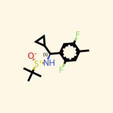 Cc1cc(F)c([C@@H](N[S+]([O-])C(C)(C)C)C2CC2)cc1F